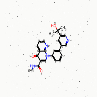 CC(C)NC(=O)c1cn(-c2cccc(-c3cncc(C(C)(C)O)c3)c2)c2ncccc2c1=O